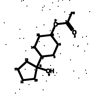 CC(=O)OC1CCC(C2(O)CCCC2)CC1